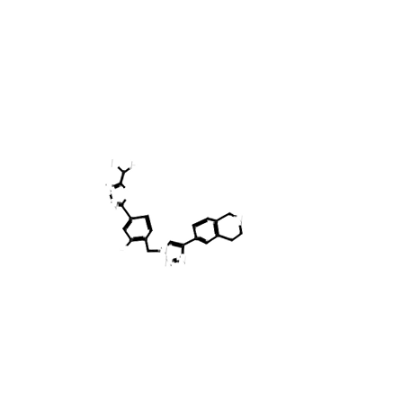 Fc1cc(-c2nnc(C(F)F)o2)ccc1Cn1cc(-c2ccc3c(c2)CCNC3)nn1